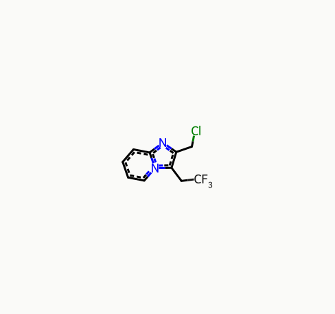 FC(F)(F)Cc1c(CCl)nc2ccccn12